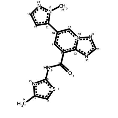 Cc1csc(NC(=O)c2cc(-c3ccnn3C)cn3ncnc23)n1